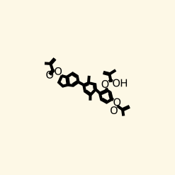 C=C(C)C(=O)Oc1ccc(-c2cc(C)c(-c3ccc4c(c3)CCC4OC(=O)C(=C)C)cc2C)c(OC(O)C(=C)C)c1